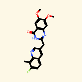 COc1cc2nc(Cc3cnc4c(C)c(F)ccc4c3)[nH]c(=O)c2cc1OC